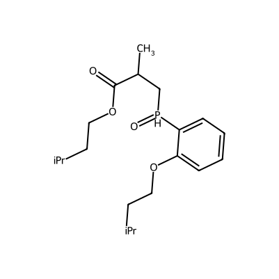 CC(C)CCOC(=O)C(C)C[PH](=O)c1ccccc1OCCC(C)C